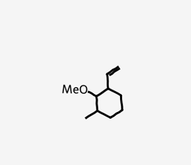 C=CC1CCCC(C)C1OC